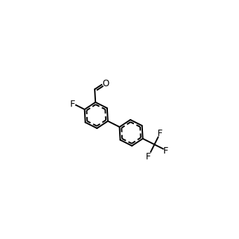 O=Cc1cc(-c2ccc(C(F)(F)F)cc2)ccc1F